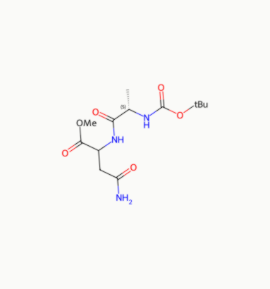 COC(=O)C(CC(N)=O)NC(=O)[C@H](C)NC(=O)OC(C)(C)C